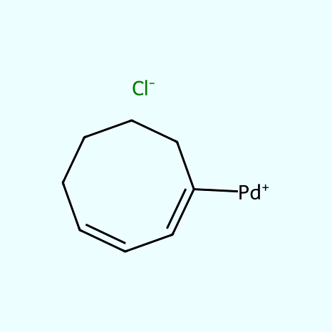 [Cl-].[Pd+]/[C]1=C/C=C\CCCC1